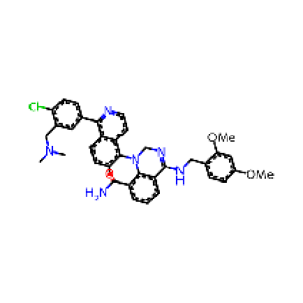 COc1ccc(CNC2=NCN(c3c(C)ccc4c(-c5ccc(Cl)c(CN(C)C)c5)nccc34)c3c(C(N)=O)cccc32)c(OC)c1